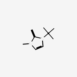 C=C1N(C)C=CN1C(C)(C)C